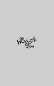 CC(C)[C@@H](O)C(=O)N1Cc2cc(S(C)(=O)=O)ccc2C1C(=O)Nc1ccc(C(C)(O)C(F)(F)F)cc1